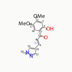 COc1cc(O)c(C(=O)/C=C/c2cnn(C)c2)cc1OC